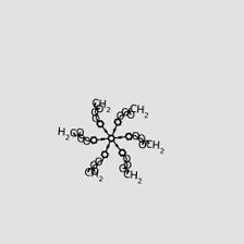 C=CC(=O)OCOCc1ccc(C#Cc2c(C#Cc3ccc(OCOC(=O)C=C)cc3)c(C#Cc3ccc(OCOC(=O)C=C)cc3)c(C#Cc3ccc(OCOC(=O)C=C)cc3)c(C#Cc3ccc(OCOC(=O)C=C)cc3)c2C#Cc2ccc(OCOC(=O)C=C)cc2)cc1